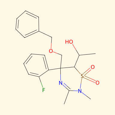 CC1=NC(COCc2ccccc2)(c2ccccc2F)C(C(C)O)S(=O)(=O)N1C